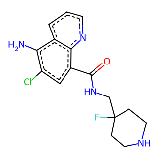 Nc1c(Cl)cc(C(=O)NCC2(F)CCNCC2)c2ncccc12